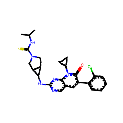 CC(C)NC(=S)N1CC2C(C1)C2Nc1ncc2cc(-c3ccccc3Cl)c(=O)n(C3CC3)c2n1